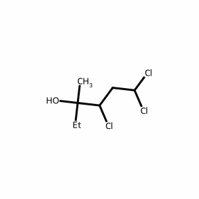 CCC(C)(O)C(Cl)CC(Cl)Cl